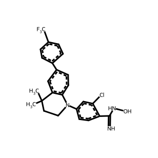 CC1(C)CCN(c2ccc(C(=N)NO)c(Cl)c2)c2ccc(-c3ccc(C(F)(F)F)cc3)cc21